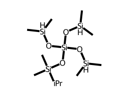 CC(C)[Si](C)(C)O[Si](O[SiH](C)C)(O[SiH](C)C)O[SiH](C)C